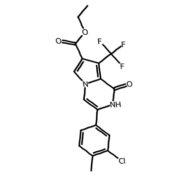 CCOC(=O)c1cn2cc(-c3ccc(C)c(Cl)c3)[nH]c(=O)c2c1C(F)(F)F